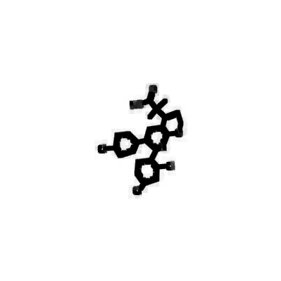 CC(C)(C(=O)O)C1=CCOc2nc(-c3ccc(Cl)cc3Cl)c(-c3ccc(Cl)cc3)cc21